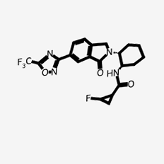 O=C(N[C@@H]1CCCC[C@H]1N1Cc2ccc(-c3noc(C(F)(F)F)n3)cc2C1=O)C1CC1F